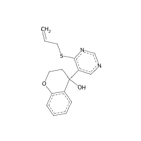 C=CCSc1ncncc1C1(O)CCOc2ccccc21